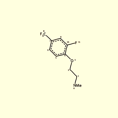 CNCCOc1ccc(C(F)(F)F)cc1F